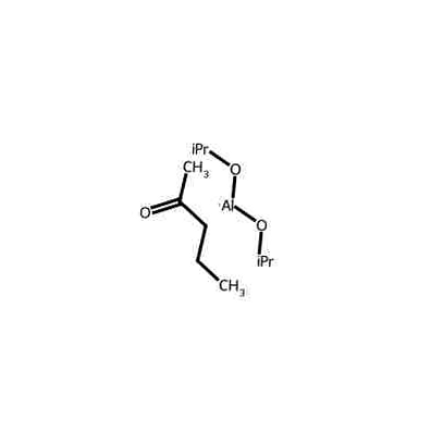 CC(C)[O][Al][O]C(C)C.CCCC(C)=O